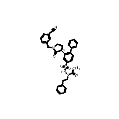 CC(=O)N(CCc1ccccc1)NS(=O)(=O)c1ccc(-c2ccccc2)c([C@@H]2CCN(Cc3cccc(C#N)c3)C2=O)c1